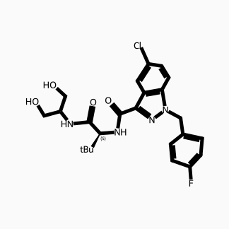 CC(C)(C)[C@H](NC(=O)c1nn(Cc2ccc(F)cc2)c2ccc(Cl)cc12)C(=O)NC(CO)CO